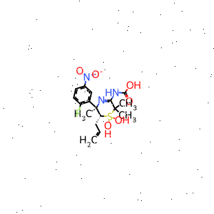 C=CC[C@@H]1[C@@](C)(c2cc([N+](=O)[O-])ccc2F)N=C(NC(=O)O)C(C)(C)S1(O)O